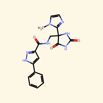 Cn1ccnc1C1(CNC(=O)c2cc(-c3ccccc3)[nH]n2)NC(=O)NC1=O